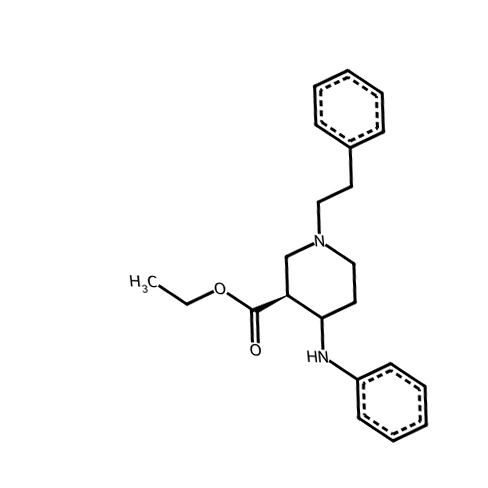 CCOC(=O)[C@H]1CN(CCc2ccccc2)CCC1Nc1ccccc1